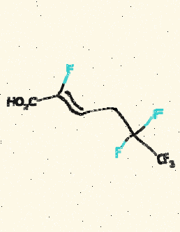 O=C(O)C(F)=CCC(F)(F)C(F)(F)F